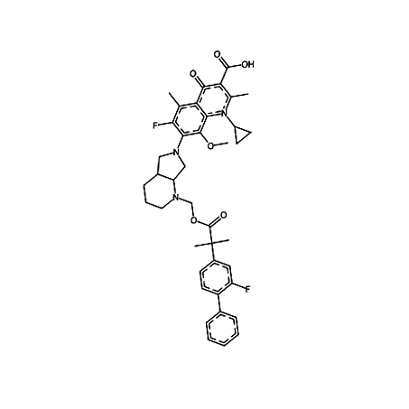 COc1c(N2CC3CCCN(COC(=O)C(C)(C)c4ccc(-c5ccccc5)c(F)c4)C3C2)c(F)c(C)c2c(=O)c(C(=O)O)c(C)n(C3CC3)c12